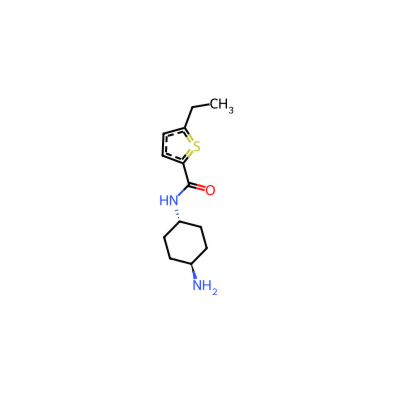 CCc1ccc(C(=O)N[C@H]2CC[C@H](N)CC2)s1